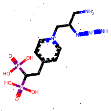 N=[N+]=NC(CN)C[n+]1ccc(CC(P(=O)(O)O)P(=O)(O)O)cc1